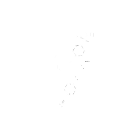 CCC(C)Oc1ccc(S(C)(=O)=O)cc1C(=O)N1CCN(c2ccc(C#N)cc2)CC1